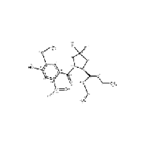 CCSC(SCC)[C@@H]1CC(F)(F)CN1C(=O)c1cc(OC)c(O)cc1[N+](=O)[O-]